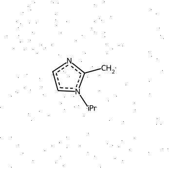 [CH2]c1nccn1C(C)C